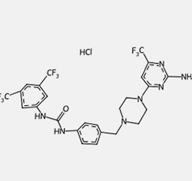 Cl.Nc1nc(N2CCN(Cc3ccc(NC(=O)Nc4cc(C(F)(F)F)cc(C(F)(F)F)c4)cc3)CC2)cc(C(F)(F)F)n1